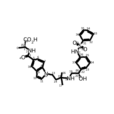 C[C@H](NC(=O)c1ccc2c(ccn2CCC(C)(C)NC[C@H](O)c2cccc(NS(=O)(=O)c3ccccc3)c2)c1)C(=O)O